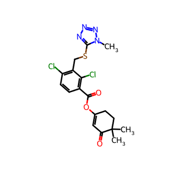 Cn1nnnc1SCc1c(Cl)ccc(C(=O)OC2=CC(=O)C(C)(C)CC2)c1Cl